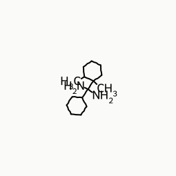 CC1CCCCC1(C)C(N)(N)C1CCCCC1